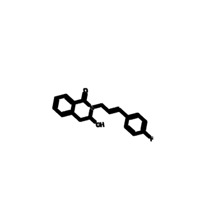 O=C1c2ccccc2CC(O)N1C/C=C/c1ccc(F)cc1